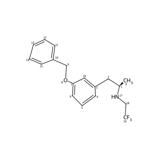 C[C@H](Cc1cccc(OCc2ccccc2)c1)NCC(F)(F)F